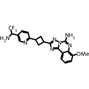 COc1cccc2c1nc(N)n1nc(C3CC(c4ccc(C(N)C(F)(F)F)cn4)C3)nc21